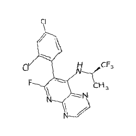 C[C@@H](Nc1c(-c2ccc(Cl)cc2Cl)c(F)nc2nccnc12)C(F)(F)F